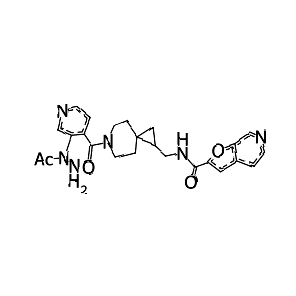 CC(=O)N(N)c1cnccc1C(=O)N1CCC2(CC1)CC2CNC(=O)c1cc2ccncc2o1